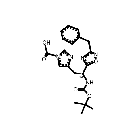 CC(C)(C)OC(=O)N[C@@H](Cc1cn(C(=O)O)cn1)c1nc(Cc2ccccc2)no1